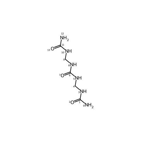 NC(=O)NCNC(=O)NCNC(N)=O